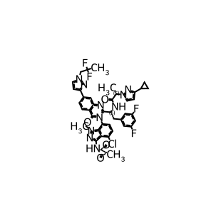 C[C@@H](C(=O)N[C@@H](Cc1cc(F)cc(F)c1)c1nc2cc(-c3ccn(CC(C)(F)F)n3)ccc2c(=O)n1-c1ccc(Cl)c2c(NS(C)(=O)=O)nn(C)c12)n1ccc(C2CC2)n1